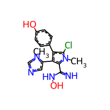 Cn1cncc1-c1c(-c2ccc(O)cc2)c(Cl)n(C)c1C(=N)NO